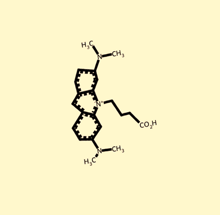 CN(C)c1ccc2cc3ccc(N(C)C)cc3[n+](CCCC(=O)O)c2c1